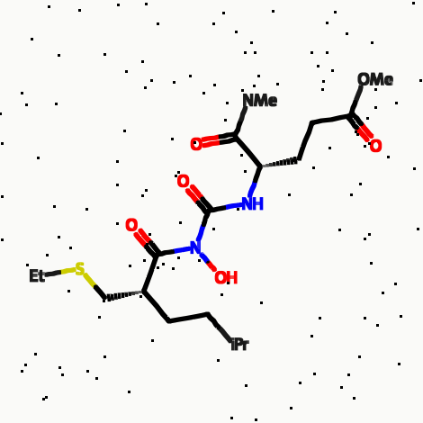 CCSC[C@@H](CCC(C)C)C(=O)N(O)C(=O)N[C@@H](CCC(=O)OC)C(=O)NC